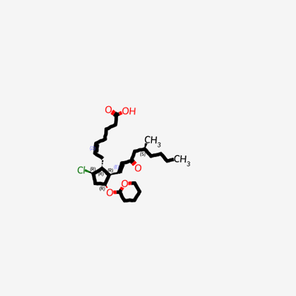 CCCC[C@H](C)CC(=O)/C=C/[C@@H]1[C@@H](C/C=C\CCCC(=O)O)[C@H](Cl)C[C@H]1OC1CCCCO1